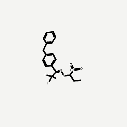 CCC(ON=C(c1ccc(Cc2ccccc2)cc1)C(F)(F)F)[SH](=O)=O